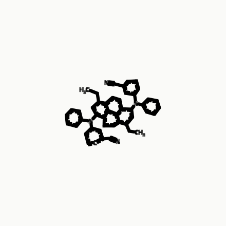 CCc1cc(N(c2ccccc2)c2cccc(C#N)c2)c2ccc3c(CC)cc(N(c4ccccc4)c4cccc(C#N)c4)c4ccc1c2c34